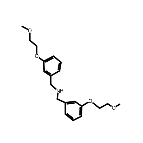 COCCOc1cccc(CNCc2cccc(OCCOC)c2)c1